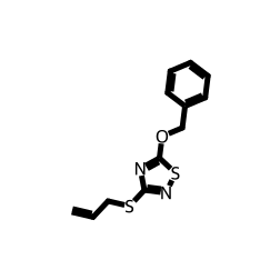 C=CCSc1nsc(OCc2ccccc2)n1